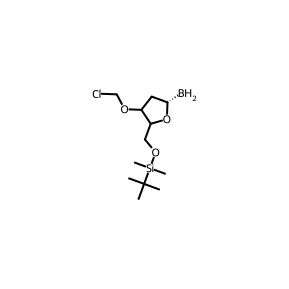 B[C@H]1CC(OCCl)C(CO[Si](C)(C)C(C)(C)C)O1